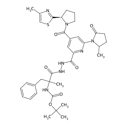 Cc1csc([C@H]2CCCN2C(=O)c2cc(C(=O)NNC(=O)C(C)(Cc3ccccc3)NC(=O)OC(C)(C)C)nc(N3C(=O)CCC3C)c2)n1